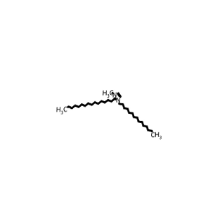 CCCCCCCCCCCCCCCc1n(CCCCCCCCCCCCCCC)cc[n+]1C